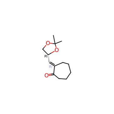 CC1(C)OC[C@@H](/C=C2\CCCCCC2=O)O1